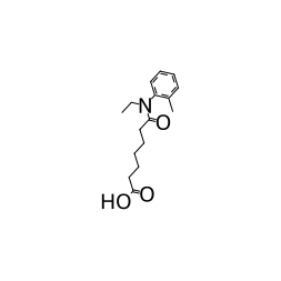 CCN(C(=O)CCCCCC(=O)O)c1ccccc1C